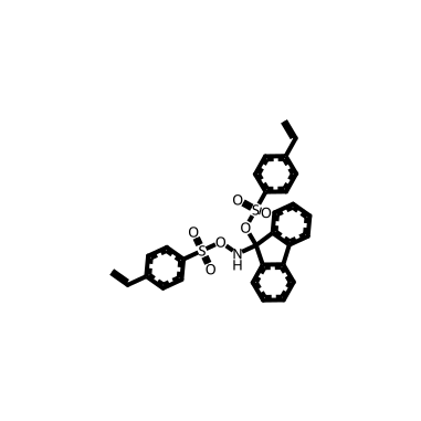 C=Cc1ccc(S(=O)(=O)ONC2(OS(=O)(=O)c3ccc(C=C)cc3)c3ccccc3-c3ccccc32)cc1